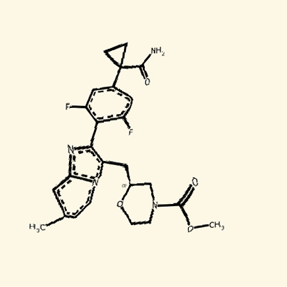 COC(=O)N1CCO[C@@H](Cc2c(-c3c(F)cc(C4(C(N)=O)CC4)cc3F)nc3cc(C)ccn23)C1